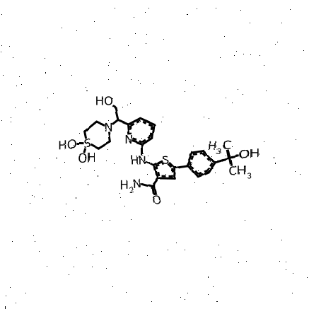 CC(C)(O)c1ccc(-c2cc(C(N)=O)c(Nc3cccc(C(CO)N4CCS(O)(O)CC4)n3)s2)cc1